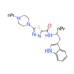 CCCC(Cc1c[nH]c2ccccc12)NC(=O)c1nnc(N2CCN(CCC)CC2)s1